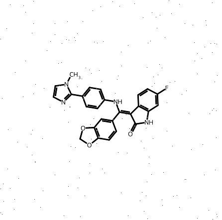 Cn1ccnc1-c1ccc(NC(=C2C(=O)Nc3cc(F)ccc32)c2ccc3c(c2)OCO3)cc1